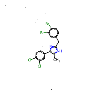 Cc1[nH]c(Cc2ccc(Br)c(Br)c2)nc1-c1ccc(Cl)c(Cl)c1